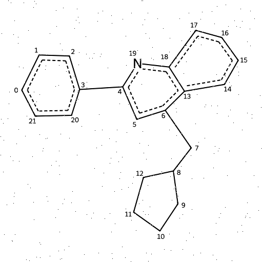 c1ccc(-c2cc(CC3CCCC3)c3ccccc3n2)cc1